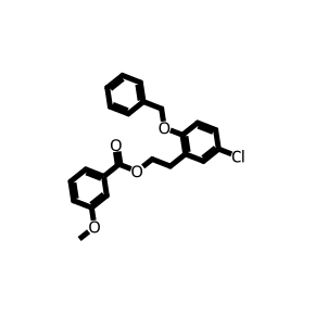 COc1cccc(C(=O)OCCc2cc(Cl)ccc2OCc2ccccc2)c1